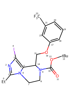 CCc1nc(I)c2n1CCN(C(=O)OC(C)(C)C)C2COc1cccc(C(F)(F)F)c1